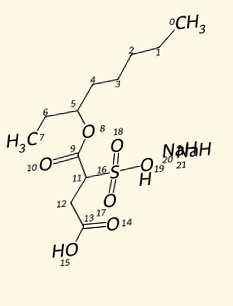 CCCCCC(CC)OC(=O)C(CC(=O)O)S(=O)(=O)O.[NaH].[NaH]